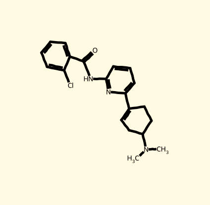 CN(C)C1CC=C(c2cccc(NC(=O)c3ccccc3Cl)n2)CC1